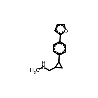 CNCC1CC1c1ccc(-c2ccco2)cc1